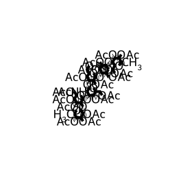 CC(=O)NC1[C@H](O[C@@H]2C(OC(C)=O)[C@@H](O[C@H]3C(COC(C)=O)O[C@@H](O[C@@H]4C(COC(C)=O)O[C@@H](C)C(OC(C)=O)[C@H]4OC(C)=O)C(OC(C)=O)[C@H]3OC(C)=O)OC(COC(C)=O)[C@@H]2OC(C)=O)OC(COC(C)=O)[C@H](OC(C)=O)[C@@H]1O[C@@H]1OC(COC(C)=O)[C@H](OC(C)=O)[C@H](OC(C)=O)C1O[C@@H]1OC(C)[C@@H](OC(C)=O)C(OC(C)=O)[C@@H]1OC(C)=O